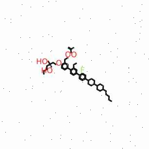 C=C(C)C(=O)OCCc1cc(-c2ccc(-c3ccc(C4CCC(C5CCC(CCCCC)CC5)CC4)cc3F)cc2CC)ccc1OCCC(CO)(CO)CCCC